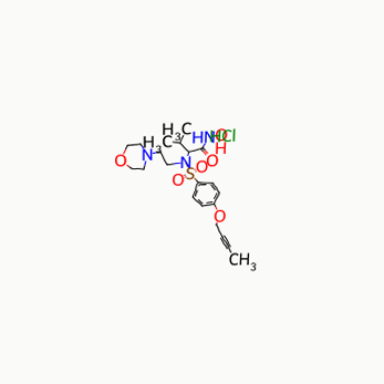 CC#CCOc1ccc(S(=O)(=O)N(CCN2CCOCC2)C(C(=O)NO)C(C)C)cc1.Cl